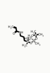 C=CC(=O)NCCC[Si](C)(C)O[Si](C)(C)O[Si](C)(C)C